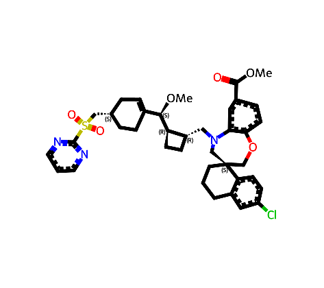 COC(=O)c1ccc2c(c1)N(C[C@@H]1CC[C@H]1[C@H](OC)C1=CC[C@@H](CS(=O)(=O)c3ncccn3)CC1)C[C@@]1(CCCc3cc(Cl)ccc31)CO2